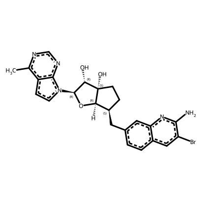 Cc1ncnc2c1ccn2[C@@H]1O[C@@H]2[C@H](Cc3ccc4cc(Br)c(N)nc4c3)CC[C@]2(O)[C@H]1O